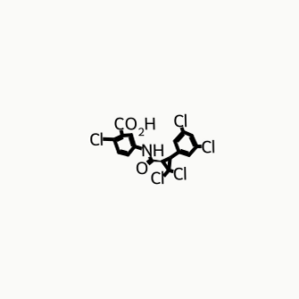 O=C(O)c1cc(NC(=O)[C@H]2C(c3cc(Cl)cc(Cl)c3)C2(Cl)Cl)ccc1Cl